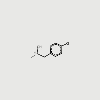 C[C@H](O)Cc1ccc(Cl)cc1